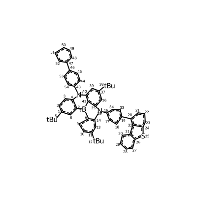 CC(C)(C)c1ccc2c(c1)B1c3ccc(C(C)(C)C)cc3N(c3ccc(-c4cccc5sc6ccccc6c45)cc3)c3cc(C(C)(C)C)cc(c31)N2c1ccc(-c2ccccc2)cc1